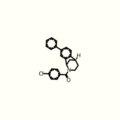 O=C(c1ccc(Cl)cc1)N1CC[C@@H]2CC1c1cc(-c3ccccc3)ccc12